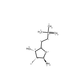 B[C@@H]1OC(CCP(=C)(C)C)[C@@H](O)[C@H]1I